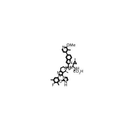 COc1nccc(-c2ccc3c(c2)cc(C(=O)N2CCc4nn(-c5cc(C)c(F)c(C)c5)c(-n5cc[nH]c5=O)c4[C@@H]2C)n3[C@@]2([C@@H](N)NC(=O)O)C[C@@H]2C)c1C